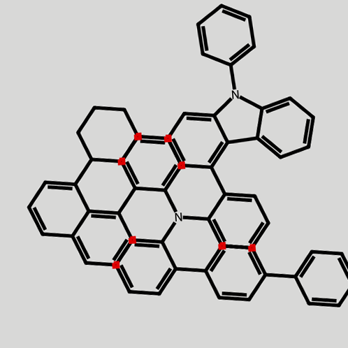 c1ccc(-c2ccc(-c3ccccc3N(c3ccccc3-c3cccc4cccc(C5CCCCC5)c34)c3ccccc3-c3cccc4c3c3ccccc3n4-c3ccccc3)cc2)cc1